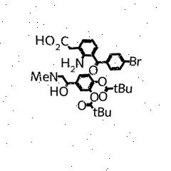 CNCC(O)c1ccc(OC(=O)C(C)(C)C)c(OC(=O)C(C)(C)C)c1.Nc1c(CC(=O)O)cccc1C(=O)c1ccc(Br)cc1